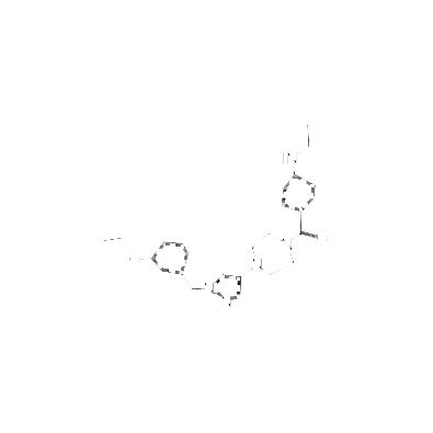 CCNc1ccc(C(=O)N2CCN(c3cnn(Cc4cccc(OCC)c4)c3)CC2)cc1